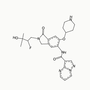 CC(C)(O)C(F)CN1Cc2cc(NC(=O)c3cnn4cccnc34)c(OC3CCNCC3)cc2C1=O